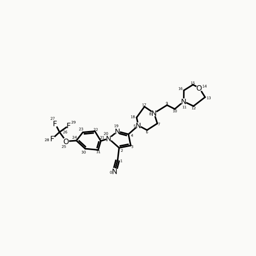 N#Cc1cc(N2CCN(CCN3CCOCC3)CC2)nn1-c1ccc(OC(F)(F)F)cc1